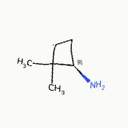 CC1(C)[CH]C[C@H]1N